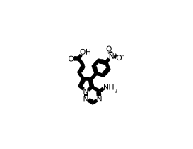 Nc1ncnn2cc(/C=C/C(=O)O)c(-c3ccc([N+](=O)[O-])cc3)c12